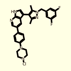 Cc1nn(Cc2cc(F)cc(F)c2)c(C)c1-c1c[nH]c2ncc(-c3ccc(N4CCN(Cl)CC4)cc3)cc12